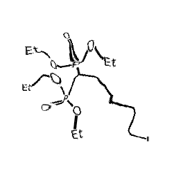 CCOP(=O)(OCC)C(CCCCI)P(=O)(OCC)OCC